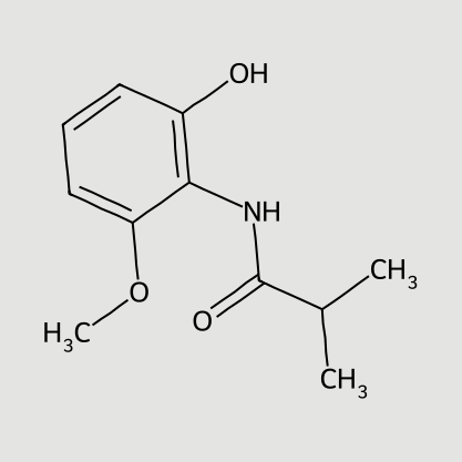 COc1cccc(O)c1NC(=O)C(C)C